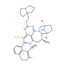 C#CC1=C(F)CCc2cccc(-c3nc4c5c(nc(OCC67CCCN6CCC7)nc5c3P)N3C[C@H]5CC[C@H](N5)C3[C@@H](C)C4)c21